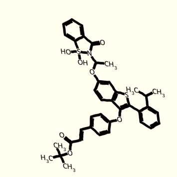 CC(C)c1ccccc1-c1sc2cc(OC(C)N3C(=O)c4ccccc4S3(O)O)ccc2c1Oc1ccc(C=CC(=O)OC(C)(C)C)cc1